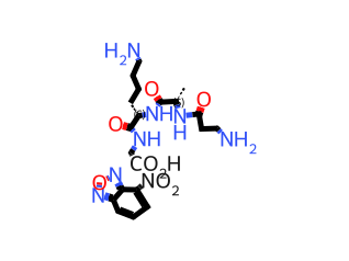 C[C@H](NC(=O)CCN)C(=O)N[C@@H](CCCCN)C(=O)NCC(=O)O.O=[N+]([O-])c1cccc2nonc12